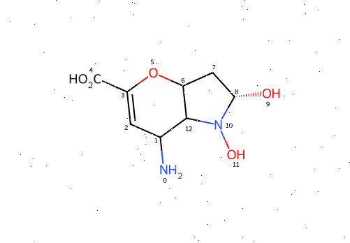 NC1C=C(C(=O)O)OC2C[C@H](O)N(O)C12